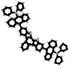 c1ccc(N(c2ccccc2)c2c3ccccc3c(-c3ccc4c(c3)oc3c5oc6cc(-c7c8ccccc8c(N(c8ccccc8)c8ccccc8)c8ccccc78)ccc6c5c5ccccc5c43)c3ccccc23)cc1